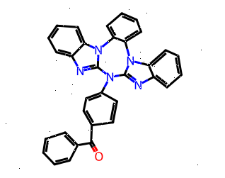 O=C(c1ccccc1)c1ccc(-n2c3nc4ccccc4n3c3ccccc3n3c4ccccc4nc23)cc1